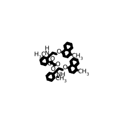 CNC(CCOc1ccc(C)c2ccccc12)(OC(=O)C(=O)OC(CCOc1ccc(C)c2ccccc12)(NC)c1ccccc1)c1ccccc1